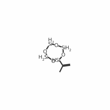 C=C(C)[SiH]1O[SiH2]O[SiH2]O[SiH2]O1